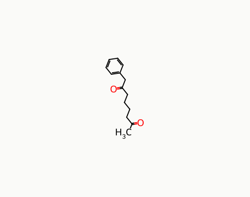 CC(=O)CCCCC(=O)Cc1ccccc1